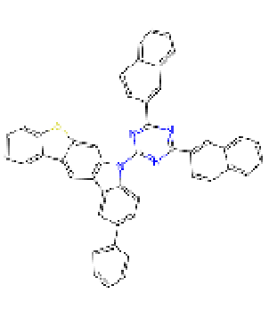 c1ccc(-c2ccc3c(c2)c2cc4c(cc2n3-c2nc(-c3ccc5ccccc5c3)nc(-c3ccc5ccccc5c3)n2)sc2ccccc24)cc1